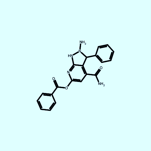 NC(=O)c1cc(OC(=O)c2ccccc2)nc2c1C(c1ccccc1)N(N)N2